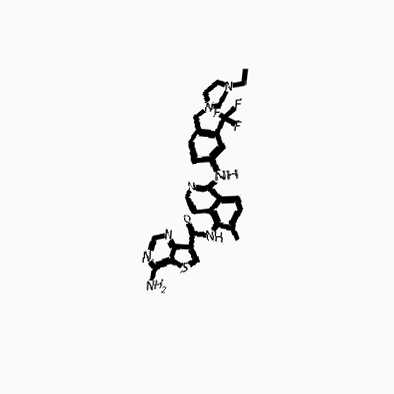 CCN1CCN(Cc2ccc(Nc3nccc4c(NC(=O)c5csc6c(N)ncnc56)c(C)ccc34)cc2C(F)(F)F)C1